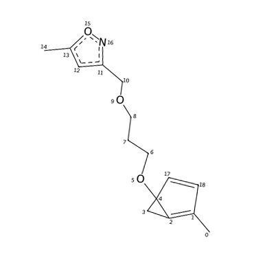 CC1=C2CC2(OCCCOCc2cc(C)on2)C=C1